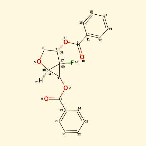 O=C(OC1[C@H]2OC[C@H](OC(=O)c3ccccc3)[C@@]12F)c1ccccc1